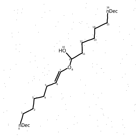 CCCCCCCCCCCCCCCC=COC(O)CCCCCCCCCCCCCCC